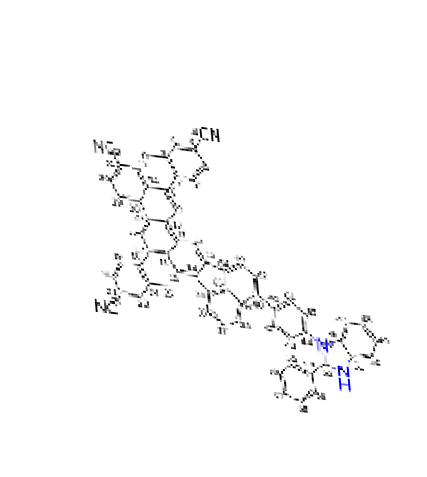 Cc1cc(C#N)ccc1-c1cc2c3cc4c(cc3c(-c3ccc(C#N)cc3C)cc2c2ccc(C#N)cc12)-c1cccc2c(-c3ccc(N5c6ccccc6NC5c5ccccc5)cc3)ccc-4c12